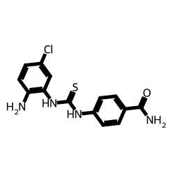 NC(=O)c1ccc(NC(=S)Nc2cc(Cl)ccc2N)cc1